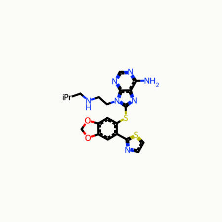 CC(C)CNCCn1c(Sc2cc3c(cc2-c2nccs2)OCO3)nc2c(N)ncnc21